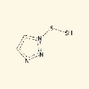 SSn1ccnn1